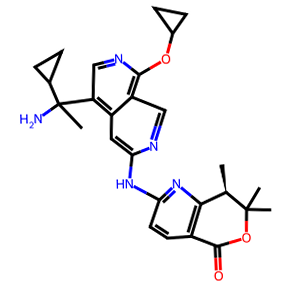 C[C@@H]1c2nc(Nc3cc4c(C(C)(N)C5CC5)cnc(OC5CC5)c4cn3)ccc2C(=O)OC1(C)C